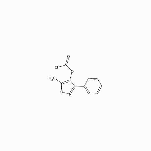 Cc1onc(-c2ccccc2)c1OC(=O)Cl